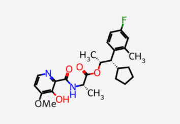 COc1ccnc(C(=O)N[C@@H](C)C(=O)O[C@H](C)[C@H](c2ccc(F)cc2C)C2CCCC2)c1O